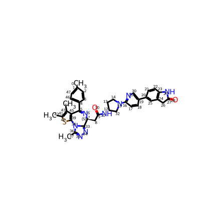 Cc1ccc(C2=N[C@@H](CC(=O)NC3CCN(c4ccc(-c5ccc6c(c5)CC(=O)N6)cn4)C3)c3nnc(C)n3-c3sc(C)c(C)c32)cc1